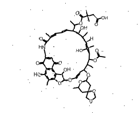 CC(=O)OC1C(C)C(OC2CC3(COCO3)CC(C)O2)/C=C/OC2(C)Oc3c(C)c(O)c4c(c3C2O)C(=O)C=C(NC(=O)/C(C)=C\C=C\C(C(C)OC(=O)C(C)(C)CC(=O)O)C(O)C(C)[C@@H]2C(C)C1C2O)C4=O